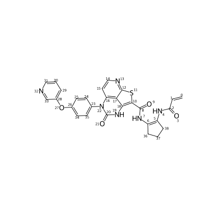 C=CC(=O)NC1=C(NC(=O)c2sc3nccc4c3c2NC(=O)N4c2ccc(Oc3cccnc3)cc2)CCC1